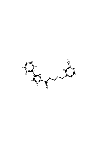 O=C(CCCCc1cccc(Cl)c1)c1ncc(-c2ccccn2)o1